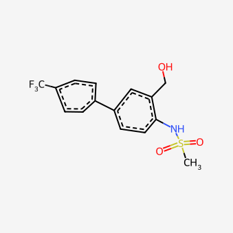 CS(=O)(=O)Nc1ccc(-c2ccc(C(F)(F)F)cc2)cc1CO